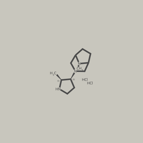 C[C@@H]1NCC[C@@H]1N1CC2CCC(C1)N2C.Cl.Cl